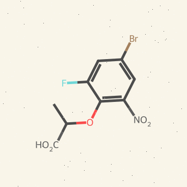 CC(Oc1c(F)cc(Br)cc1[N+](=O)[O-])C(=O)O